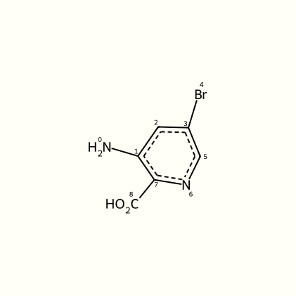 Nc1cc(Br)cnc1C(=O)O